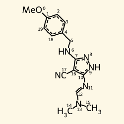 COc1ccc(CNc2n[nH]c(N=CN(C)C)c2C#N)cc1